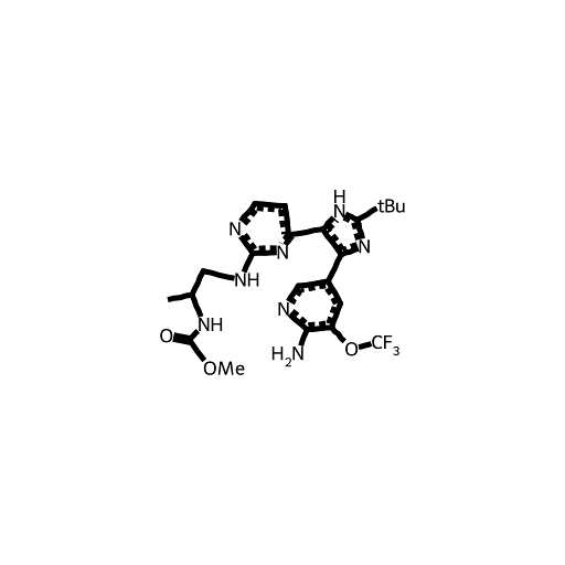 COC(=O)NC(C)CNc1nccc(-c2[nH]c(C(C)(C)C)nc2-c2cnc(N)c(OC(F)(F)F)c2)n1